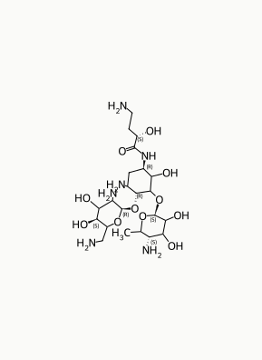 CC1O[C@@H](OC2C(O)[C@H](NC(=O)[C@@H](O)CCN)CC(N)[C@H]2O[C@H]2OC(CN)[C@@H](O)C(O)C2N)C(O)C(O)[C@@H]1N